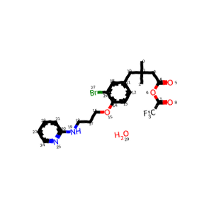 CC(C)(CC(=O)OC(=O)C(F)(F)F)Cc1ccc(OCCCNc2ccccn2)c(Br)c1.O